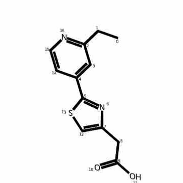 CCc1cc(-c2nc(CC(=O)O)cs2)ccn1